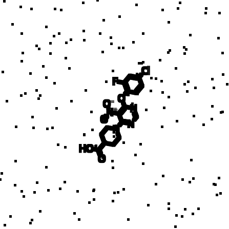 O=C(O)C1CCN(c2ncnc(Oc3ccc(Cl)cc3F)c2[N+](=O)[O-])CC1